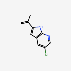 C=C(C)c1cc2cc(Cl)cnc2[nH]1